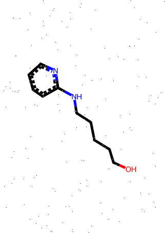 OCCCCCNc1ccccn1